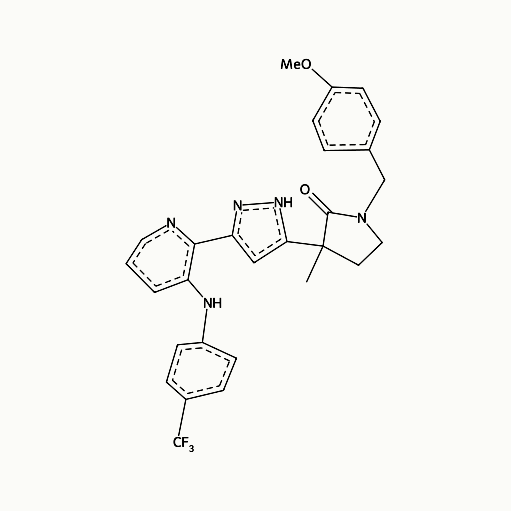 COc1ccc(CN2CCC(C)(c3cc(-c4ncccc4Nc4ccc(C(F)(F)F)cc4)n[nH]3)C2=O)cc1